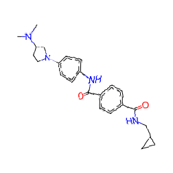 CN(C)C1CCN(c2ccc(NC(=O)c3ccc(C(=O)NCC4CC4)cc3)cc2)C1